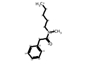 CCCCCN(C)C(=O)[CH]c1ccccc1